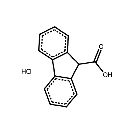 Cl.O=C(O)C1c2ccccc2-c2ccccc21